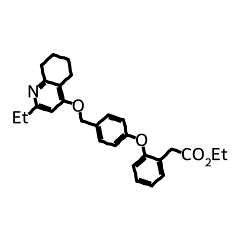 CCOC(=O)Cc1ccccc1Oc1ccc(COc2cc(CC)nc3c2CCCC3)cc1